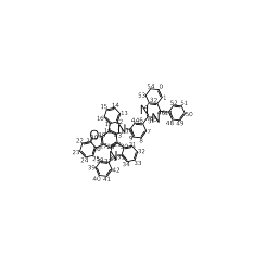 C1=Cc2c(nc(-c3cccc(-n4c5ccccc5c5c6oc7ccccc7c6c6c(c7ccccc7n6-c6ccccc6)c54)c3)nc2-c2ccccc2)CC1